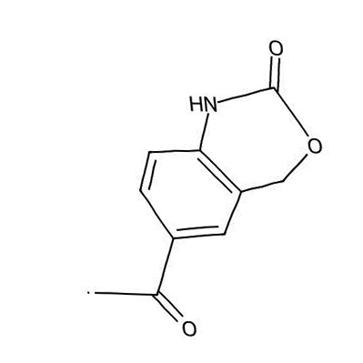 [CH2]C(=O)c1ccc2c(c1)COC(=O)N2